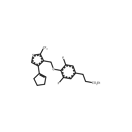 CCOC(=O)CCc1cc(F)c(OCc2c(C3=CCCC3)csc2C(F)(F)F)c(F)c1